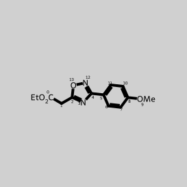 CCOC(=O)Cc1nc(-c2ccc(OC)cc2)no1